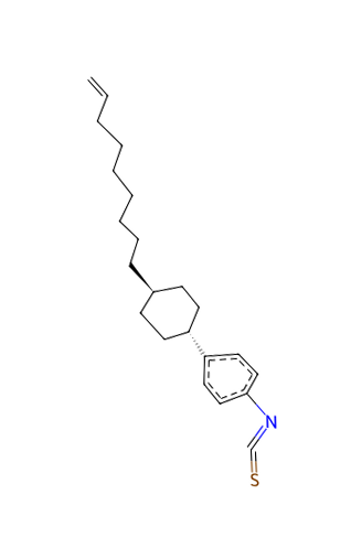 C=CCCCCCCC[C@H]1CC[C@H](c2ccc(N=C=S)cc2)CC1